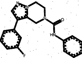 O=C(Nc1ccccc1)N1CCn2ncc(-c3cccc(F)c3)c2C1